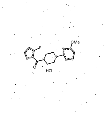 COc1ccnc(N2CCN(C(=O)c3sccc3F)CC2)n1.Cl